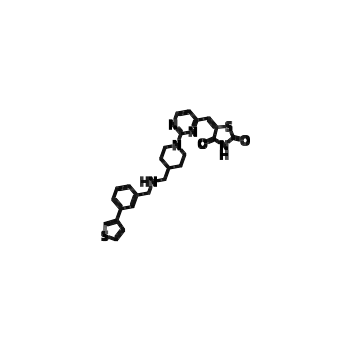 O=C1NC(=O)/C(=C\c2ccnc(N3CCC(CNCc4cccc(-c5ccsc5)c4)CC3)n2)S1